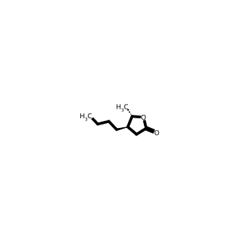 CCCC[C@@H]1CC(=O)O[C@H]1C